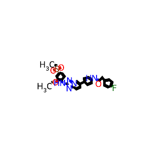 CCOc1cc(S(=O)(=O)CC)ccc1Nc1nc2ccc(-c3ccc(NC(=O)Cc4ccc(F)cc4)cc3)cn2n1